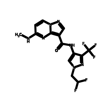 CNc1ccn2ncc(C(=O)Nc3cn(CC(F)F)nc3C(F)(F)F)c2n1